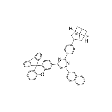 c1ccc2c(c1)Oc1cc(-c3cc(-c4ccc5ccccc5c4)nc(-c4ccc(C56C[C@H]7CC8C[C@@H](C5)C87C6)cc4)n3)ccc1C21c2ccccc2-c2ccccc21